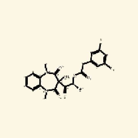 CCC[C@H](NC(=O)Cc1cc(F)cc(F)c1)C(=O)C1(N)C(=O)N(C)c2ccccc2N(C)C1=O